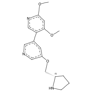 COc1cc(OC)c(-c2cncc(OC[C@@H]3CCCN3)c2)cn1